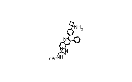 CCCNCc1nnc2c3cc(-c4ccccc4)c(-c4ccc(C5(N)CCC5)cc4)nc3ccn12